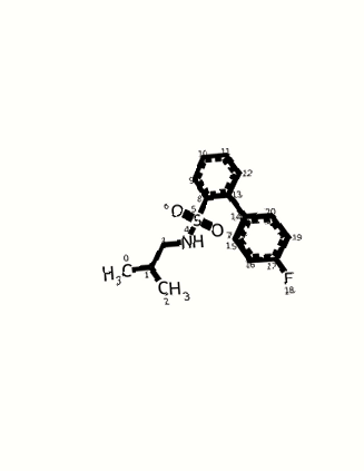 CC(C)CNS(=O)(=O)c1ccccc1-c1ccc(F)cc1